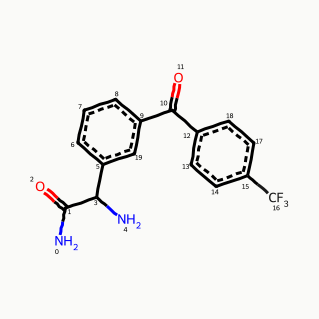 NC(=O)C(N)c1cccc(C(=O)c2ccc(C(F)(F)F)cc2)c1